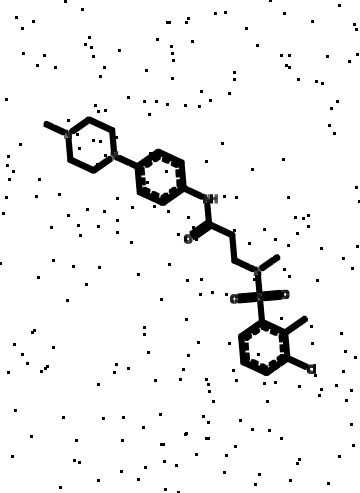 Cc1c(Cl)cccc1S(=O)(=O)N(C)CCC(=O)Nc1ccc(N2CCN(C)CC2)cc1